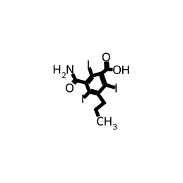 CCCc1c(I)c(C(N)=O)c(I)c(C(=O)O)c1I